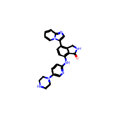 O=C1NCc2c(-c3cnc4ccccn34)ccc(Nc3ccc(N4CCNCC4)cn3)c21